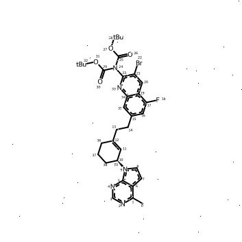 Cc1ncnc2c1ccn2[C@@H]1C=C(CCc2cc(F)c3cc(Br)c(N(C(=O)OC(C)(C)C)C(=O)OC(C)(C)C)nc3c2)CCC1